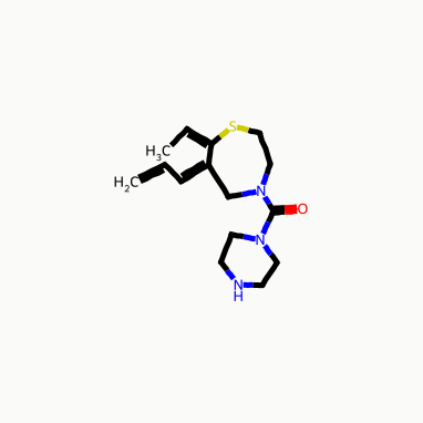 C=C/C=C1/CN(C(=O)N2CCNCC2)CCS/C1=C/C